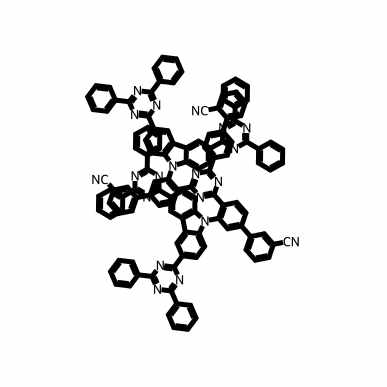 N#Cc1cccc(-c2ccc(-c3nc(-c4ccc(-c5ccccc5C#N)cc4)nc(-c4ccc(-c5cccc(C#N)c5)cc4-n4c5ccc(-c6nc(-c7ccccc7)nc(-c7ccccc7)n6)cc5c5cc(-c6nc(-c7ccccc7)nc(-c7ccccc7)n6)ccc54)n3)c(-n3c4ccc(-c5nc(-c6ccccc6)nc(-c6ccccc6)n5)cc4c4cc(-c5nc(-c6ccccc6)nc(-c6ccccc6)n5)ccc43)c2)c1